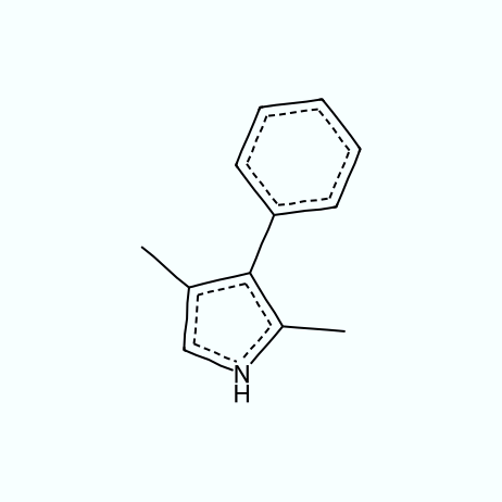 Cc1c[nH]c(C)c1-c1ccccc1